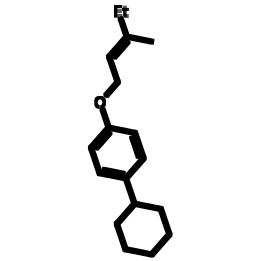 CCC(C)=CCOc1ccc(C2CCCCC2)cc1